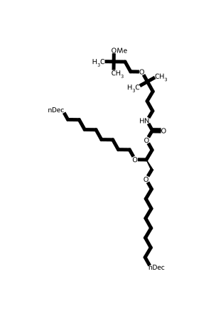 CCCCCCCCCCCCCCCCCCOC[C@H](COC(=O)NCCCC(C)(C)OCCC(C)(C)OC)OCCCCCCCCCCCCCCCCCC